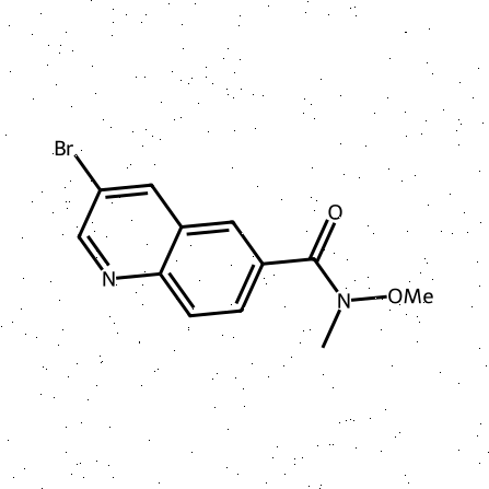 CON(C)C(=O)c1ccc2ncc(Br)cc2c1